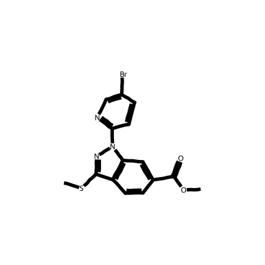 COC(=O)c1ccc2c(SC)nn(-c3ccc(Br)cn3)c2c1